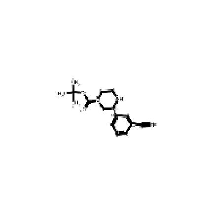 CC(C)(C)OC(=O)N1CCN[C@@H](c2cccc(C#N)c2)C1